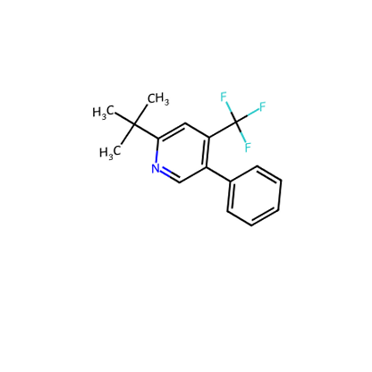 CC(C)(C)c1cc(C(F)(F)F)c(-c2ccccc2)cn1